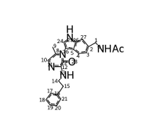 CC(=O)NCc1ccc2c(-n3c(C)cnc(NCCc4ccccc4)c3=O)c[nH]c2c1